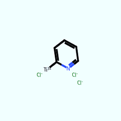 [Cl-].[Cl-].[Cl-].[Ti+3][c]1ccccn1